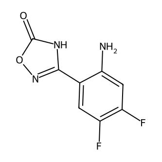 Nc1cc(F)c(F)cc1-c1noc(=O)[nH]1